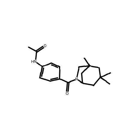 CC(=O)Nc1ccc(C(=O)N2CC3(C)CC2CC(C)(C)C3)cc1